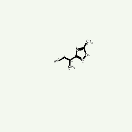 Cc1nc(C(N)CC(C)C)no1